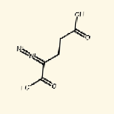 [N-]=[N+]=C(CCC(=O)O)C(=O)O